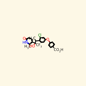 Cc1[nH]c(=O)ccc1C(O)(C(C)c1ccc(Oc2ccc(C(=O)O)cc2)cc1Cl)C(F)(F)F